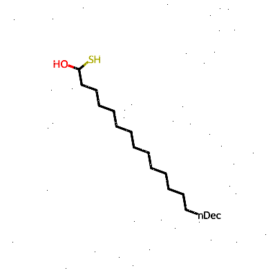 CCCCCCCCCCCCCCCCCCCCCCCC(O)S